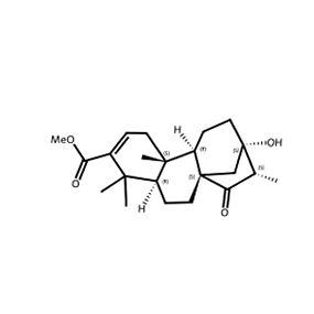 COC(=O)C1=CC[C@@]2(C)[C@@H](CC[C@]34C[C@@](O)(CC[C@@H]32)[C@H](C)C4=O)C1(C)C